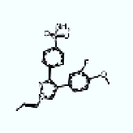 CC=Cn1cc(-c2ccc(OC)c(F)c2)c(-c2ccc(S(N)(=O)=O)cc2)n1